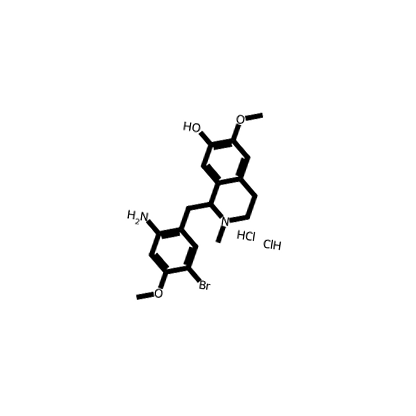 COc1cc2c(cc1O)C(Cc1cc(Br)c(OC)cc1N)N(C)CC2.Cl.Cl